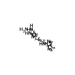 N=C(N)Nc1nc(CSCCNc2nsc3cscc23)cs1